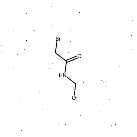 [O]CNC(=O)CBr